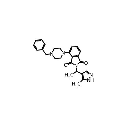 Cc1[nH]ncc1C(C)N1C(=O)c2cccc(N3CCN(Cc4ccccc4)CC3)c2C1=O